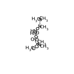 CCn1c(C)c(C=C2Oc3ccc(NC(=O)Nc4ccc(N(C)CCCCN(C)C)cc4)cc3C2=O)c2cc(OC)ccc21